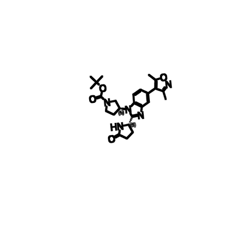 Cc1noc(C)c1-c1ccc2c(c1)nc([C@@H]1CCC(=O)N1)n2[C@H]1CCN(C(=O)OC(C)(C)C)C1